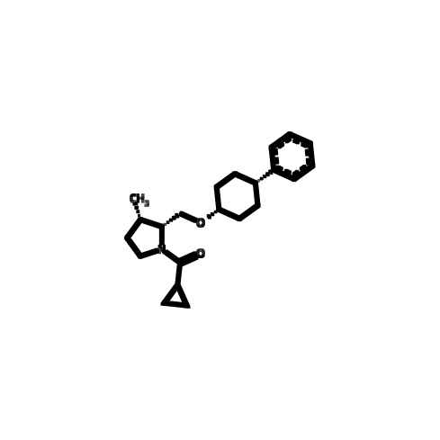 C[C@H]1CCN(C(=O)C2CC2)[C@H]1CO[C@H]1CC[C@@H](c2ccccc2)CC1